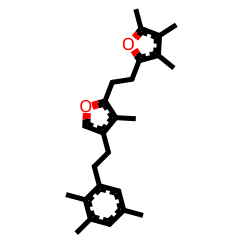 Cc1cc(C)c(C)c(CCc2coc(CCc3oc(C)c(C)c3C)c2C)c1